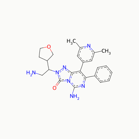 Cc1cc(-c2c(-c3ccccc3)nc(N)n3c(=O)n(C(CN)C4CCOC4)nc23)cc(C)n1